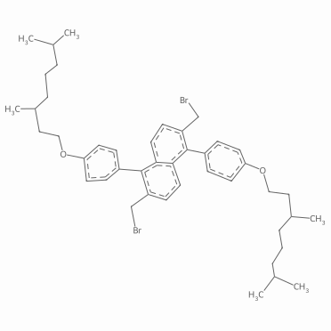 CC(C)CCCC(C)CCOc1ccc(-c2c(CBr)ccc3c(-c4ccc(OCCC(C)CCCC(C)C)cc4)c(CBr)ccc23)cc1